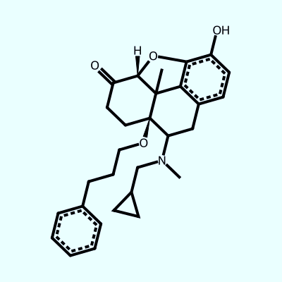 CN(CC1CC1)C1Cc2ccc(O)c3c2C2(C)[C@@H](O3)C(=O)CC[C@@]12OCCCc1ccccc1